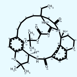 CCC12CCCCc3ccc4c(c3)[C@H](CC(C)(C)O4)NC(=O)c3ccc4c(c3)[C@@H](CCO4)N(C(=O)C1)/C(=N/C(=O)OC(C)(C)C)N2